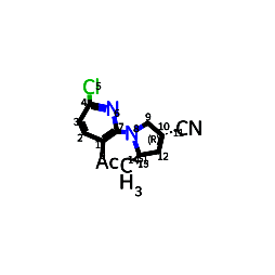 CC(=O)c1ccc(Cl)nc1N1C[C@H](C#N)C[C@@H]1C